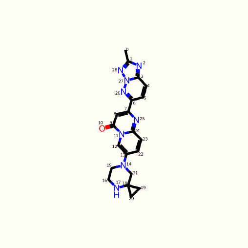 Cc1nc2ccc(-c3cc(=O)n4cc(N5CCNC6(CC6)C5)ccc4n3)nn2n1